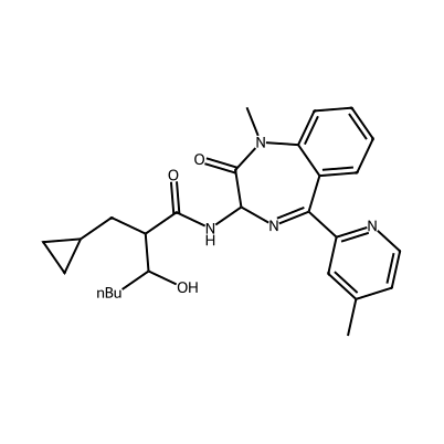 CCCCC(O)C(CC1CC1)C(=O)NC1N=C(c2cc(C)ccn2)c2ccccc2N(C)C1=O